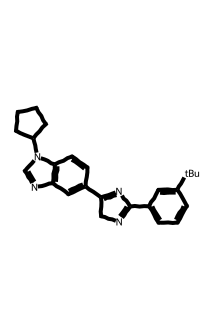 CC(C)(C)c1cccc(C2=NCC(c3ccc4c(c3)ncn4C3CCCC3)=N2)c1